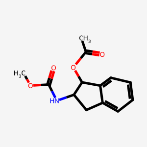 COC(=O)NC1Cc2ccccc2C1OC(C)=O